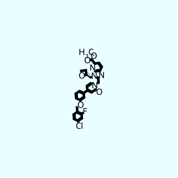 COC(=O)c1ccc2nc(Cn3ccc(-c4cccc(OCc5ccc(Cl)cc5F)c4)cc3=O)n(C[C@@H]3CCO3)c2n1